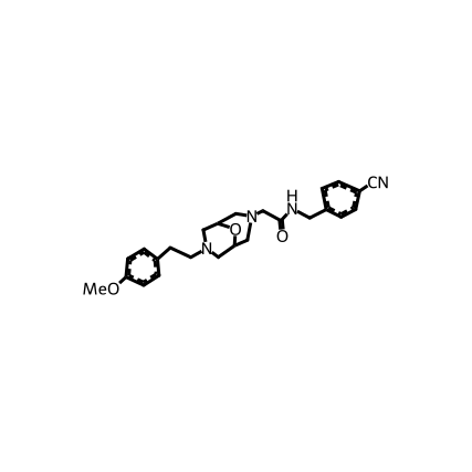 COc1ccc(CCN2CC3CN(CC(=O)NCc4ccc(C#N)cc4)CC(C2)O3)cc1